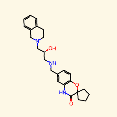 O=C1Nc2cc(CNC[C@H](O)CN3CCc4ccccc4C3)ccc2OC12CCCC2